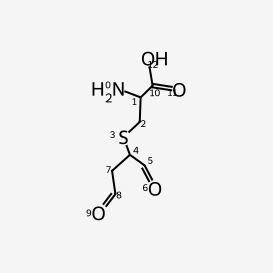 NC(CSC(C=O)CC=O)C(=O)O